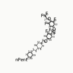 CCCCCc1ccc(CCC2CCC(COc3ccc(C(F)(F)Oc4cc(F)c(OC=C(F)F)c(F)c4)c(F)c3)CC2)cc1